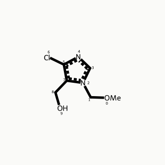 COCn1cnc(Cl)c1CO